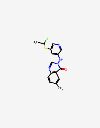 CC(Cl)Sc1cncc(Nn2cnc3ccc(C(F)(F)F)cc3c2=O)c1